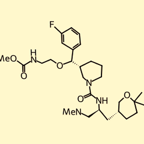 CNC[C@H](C[C@H]1CCC(C)(C)OC1)NC(=O)N1CCC[C@@H](C(OCCNC(=O)OC)c2cccc(F)c2)C1